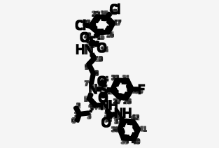 CC(C)C[C@H](CN(CCCCNS(=O)(=O)c1ccc(Cl)cc1Cl)S(=O)(=O)c1ccc(F)cc1)NC(=O)Nc1ccccc1